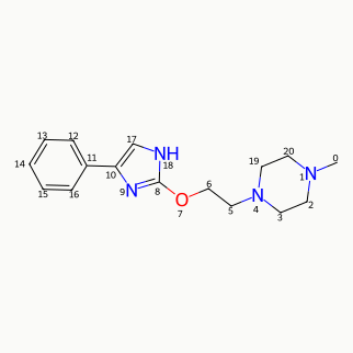 CN1CCN(CCOc2nc(-c3ccccc3)c[nH]2)CC1